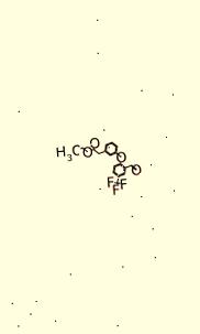 CCOC(=O)Cc1cccc(Oc2ccc(C(F)(F)F)cc2C=O)c1